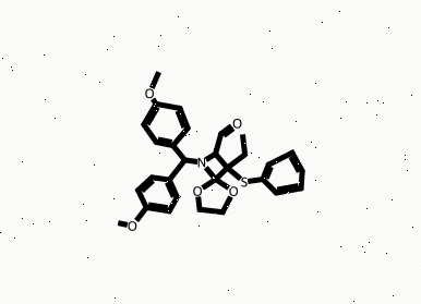 CCC1(Sc2ccccc2)C(C=O)N(C(c2ccc(OC)cc2)c2ccc(OC)cc2)C12OCCO2